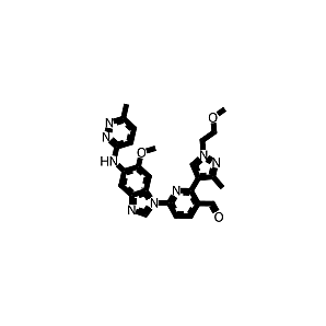 COCCn1cc(-c2nc(-n3cnc4cc(Nc5ccc(C)nn5)c(OC)cc43)ccc2C=O)c(C)n1